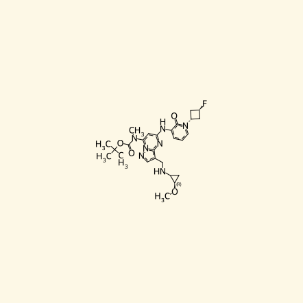 CO[C@@H]1CC1NCc1cnn2c(N(C)C(=O)OC(C)(C)C)cc(Nc3cccn([C@H]4C[C@H](F)C4)c3=O)nc12